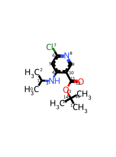 CC(C)Nc1cc(Cl)ncc1C(=O)OC(C)(C)C